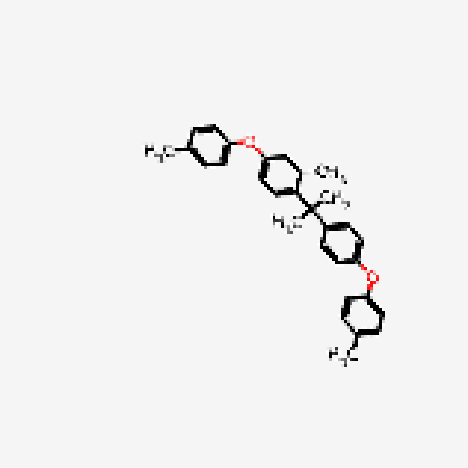 Cc1ccc(OC2=CC=C(C(C)(C)c3ccc(Oc4ccc(C)cc4)cc3)[C@@H](C)C2)cc1